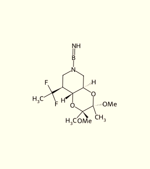 CO[C@@]1(C)O[C@H]2[C@@H](CN(B=N)C[C@@H]2C(C)(F)F)O[C@]1(C)OC